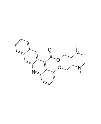 CN(C)CCOC(=O)c1c2cc3ccccc3cc2nc2cccc(OCCN(C)C)c12